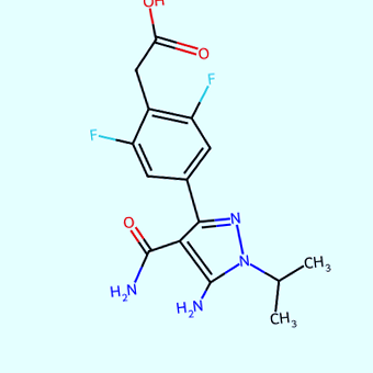 CC(C)n1nc(-c2cc(F)c(CC(=O)O)c(F)c2)c(C(N)=O)c1N